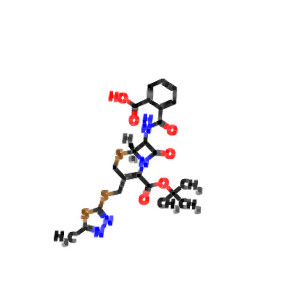 Cc1nnc(SCC2=C(C(=O)OC(C)(C)C)N3C(=O)C(NC(=O)c4ccccc4C(=O)O)[C@H]3SC2)s1